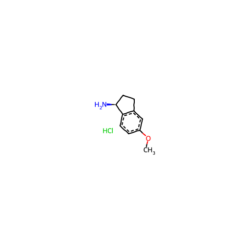 COc1ccc2c(c1)CC[C@@H]2N.Cl